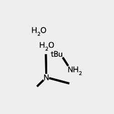 CC(C)(C)N.CN(C)C.O.O